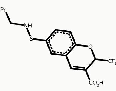 CC(C)CNSc1ccc2c(c1)C=C(C(=O)O)C(C(F)(F)F)O2